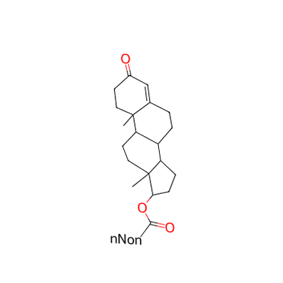 CCCCCCCCCC(=O)OC1CCC2C3CCC4=CC(=O)CCC4(C)C3CCC12C